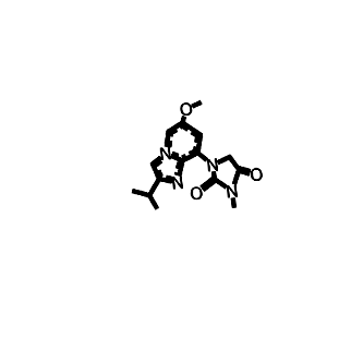 COc1cc(N2CC(=O)N(C)C2=O)c2nc(C(C)C)cn2c1